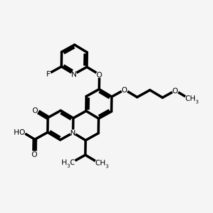 COCCCOc1cc2c(cc1Oc1cccc(F)n1)-c1cc(=O)c(C(=O)O)cn1C(C(C)C)C2